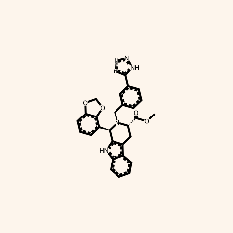 COC(=O)[C@@H]1Cc2c([nH]c3ccccc23)[C@@H](c2cccc3c2OCO3)N1Cc1cccc(-c2nnn[nH]2)c1